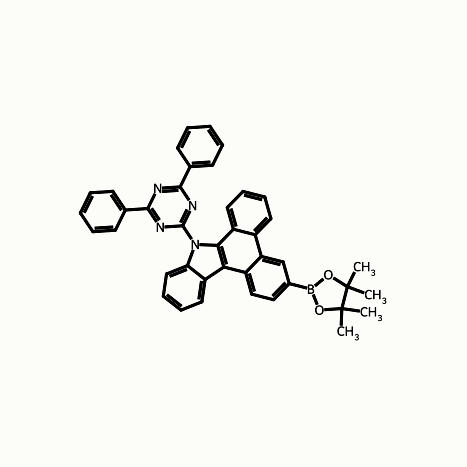 CC1(C)OB(c2ccc3c(c2)c2ccccc2c2c3c3ccccc3n2-c2nc(-c3ccccc3)nc(-c3ccccc3)n2)OC1(C)C